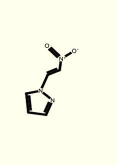 O=[N+]([O-])C=Cn1cccn1